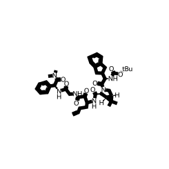 C=CCCC(NC(=O)[C@@H]1[C@H]2[C@@H](CN1C(=O)[C@@H](NC(=O)OC(C)(C)C)C1Cc3ccccc3C1)C2(C)C)C(=O)C(=O)NCC(=O)N[C@H](C(=O)N(C)C)c1ccccc1